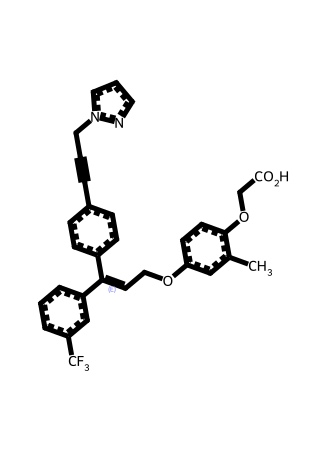 Cc1cc(OC/C=C(\c2ccc(C#CCn3cccn3)cc2)c2cccc(C(F)(F)F)c2)ccc1OCC(=O)O